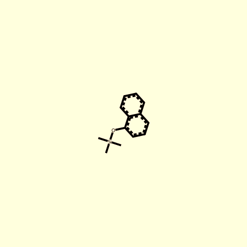 C[Si](C)(C)Oc1cccc2ccccc12